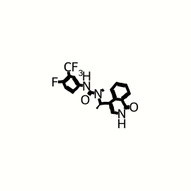 C[C@H](c1c[nH]c(=O)c2ccccc12)N(C)C(=O)Nc1ccc(F)c(C(F)(F)F)c1